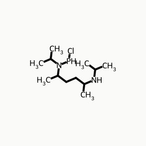 CC(C)NC(C)CCC(C)N(PCl)C(C)C